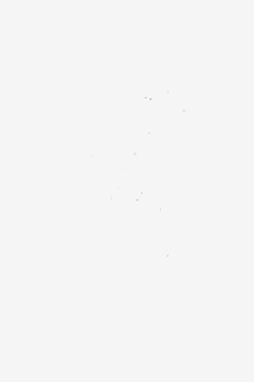 O=PC(=O)[C@@H](OC(=O)CCC(=O)O)c1ccccc1